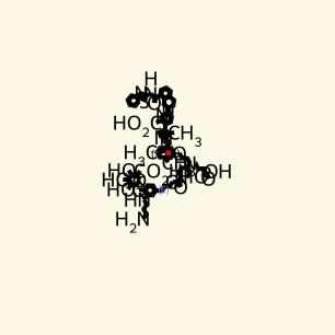 Cc1c(-c2ccc(N3CCc4cccc(C(=O)Nc5nc6ccccc6s5)c4C3)nc2C(=O)O)cnn1CC12CC3(C)C[C@@](C)(C1)C[C@@](OCCN(CCCP(=O)(O)O)C1CCN(C(=O)OC/C=C/c4ccc(O[C@H]5OC(C(=O)O)=C(O)C(O)=C5O)c(NCCCN)c4)CC1)(C3)C2